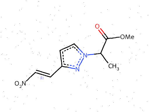 COC(=O)C(C)n1ccc(/C=C/[N+](=O)[O-])n1